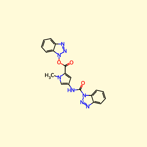 Cn1cc(NC(=O)n2nnc3ccccc32)cc1C(=O)On1nnc2ccccc21